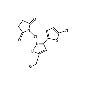 Clc1ccc(-c2cc(CBr)on2)s1.O=C1CCC(=O)N1Cl